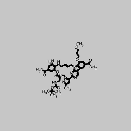 CCn1nc(C)cc1-c1ncc2c3cc(C(N)=O)cc(OCCCOC)c3n(C/C=C/CNc3c(N)cc(C(N)=O)cc3OCCCNC(=O)OC(C)(C)C)c2n1